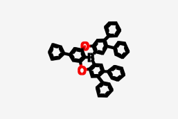 c1ccc(-c2cc3c4c(c2)Oc2cc(-c5ccccc5)c(-c5ccccc5)cc2B4c2cc(-c4ccccc4)c(-c4ccccc4)cc2O3)cc1